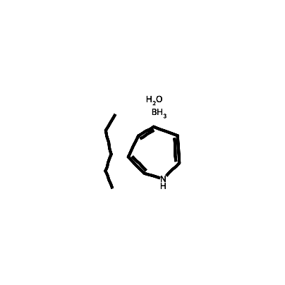 B.C1=CC=CNC=C1.CCCCC.O